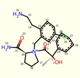 C[C@](O)(C(=O)[N+]1(Cc2cc(Cl)ccc2CCN)CCC[C@H]1C(N)=O)c1ccccc1